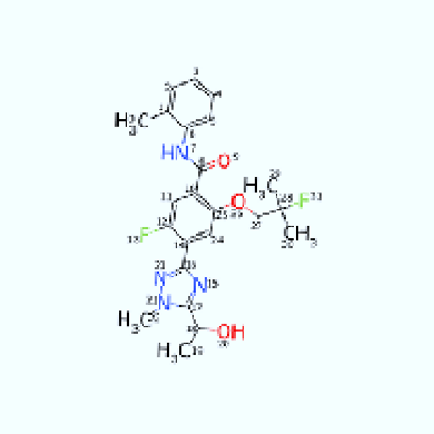 Cc1ccccc1NC(=O)c1cc(F)c(-c2nc(C(C)O)n(C)n2)cc1OCC(C)(C)F